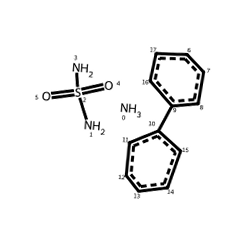 N.NS(N)(=O)=O.c1ccc(-c2ccccc2)cc1